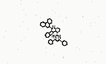 c1ccc(-c2cc(-c3ccccc3)nc(-c3cccc4nc(-c5cc6ccccc6c6ccccc56)c5c6ccccc6sc5c34)n2)cc1